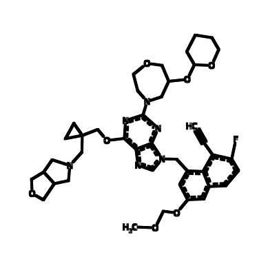 C#Cc1c(F)ccc2cc(OCOC)cc(Cn3cnc4c(OCC5(CN6CC7COCC7C6)CC5)nc(N5CCOCC(OC6CCCCO6)C5)nc43)c12